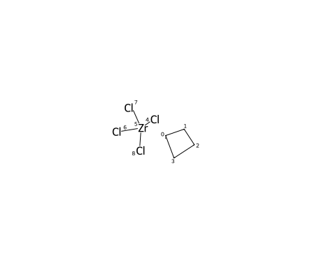 [CH]1CCC1.[Cl][Zr]([Cl])([Cl])[Cl]